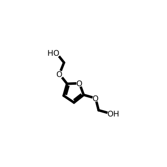 OCOc1ccc(OCO)o1